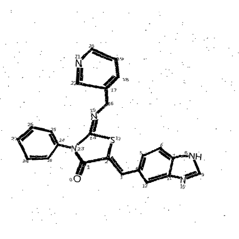 O=C1/C(=C/c2ccc3[nH]cnc3c2)S/C(=N\Cc2cccnc2)N1c1ccccc1